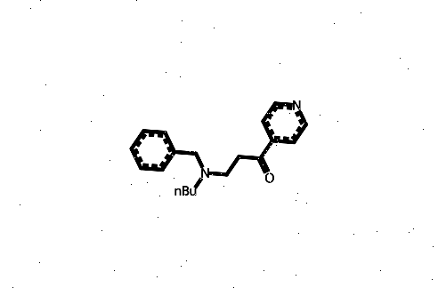 CCCCN(CCC(=O)c1ccncc1)Cc1ccccc1